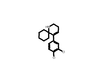 Clc1ccc(C2=CCCNC23CCCCC3)cc1Cl